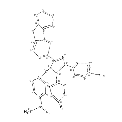 NC(=O)c1ccc(Cn2c(-c3ccc4c(c3)-c3ccccc3C4)nc(-c3ccc(F)cc3)c2-c2ccc(F)cc2)cc1